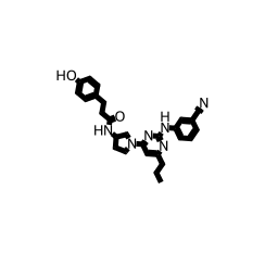 CCCc1cc(N2CCC(NC(=O)CCc3ccc(O)cc3)C2)nc(Nc2cccc(C#N)c2)n1